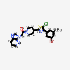 CC(C)(C)c1cc(Br)cc(-c2nc(C3CCN(C(=O)Cn4cnc5cccnc54)CC3)sc2Cl)c1